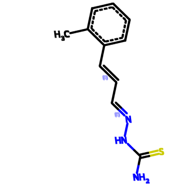 Cc1ccccc1/C=C/C=N/NC(N)=S